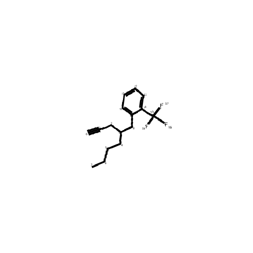 C#CCC(CCCC)Cc1ccccc1C(F)(F)F